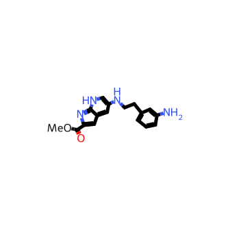 COC(=O)c1cc2cc(NCCc3cccc(N)c3)c[nH]c-2n1